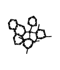 Cc1cc(C)c([B-](c2ccccc2)(c2c(C)cc(C)cc2C)c2cc3ccccc3c3ccccc23)c(C)c1